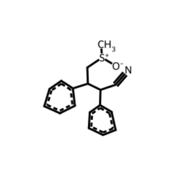 C[S+]([O-])CC(c1ccccc1)C(C#N)c1ccccc1